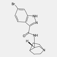 O=C(N[C@@H]1CN2CCC1CC2)c1n[nH]c2cc(Br)ccc12